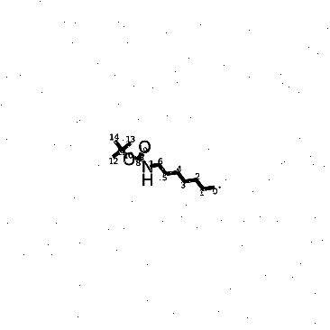 [CH2]CCCCCCNC(=O)OC(C)(C)C